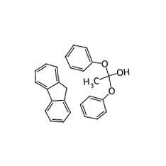 CC(O)(Oc1ccccc1)Oc1ccccc1.c1ccc2c(c1)Cc1ccccc1-2